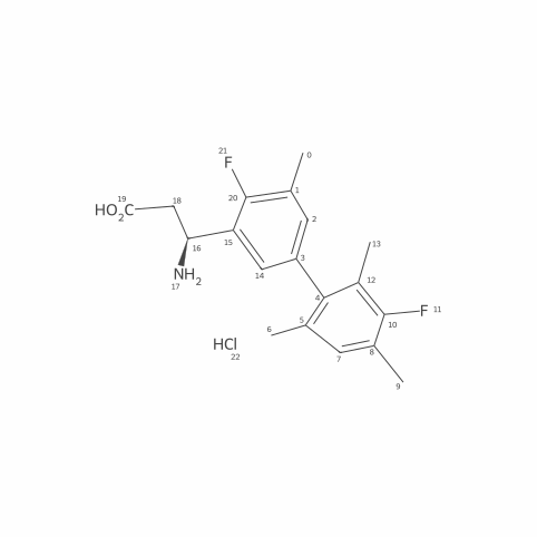 Cc1cc(-c2c(C)cc(C)c(F)c2C)cc([C@@H](N)CC(=O)O)c1F.Cl